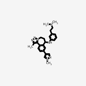 Cc1nnn2c1-c1ccc(-c3cnn(C)c3)cc1C(Nc1cccc(CCN(C)C)c1)CC2